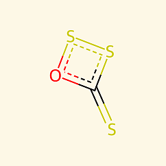 S=c1oss1